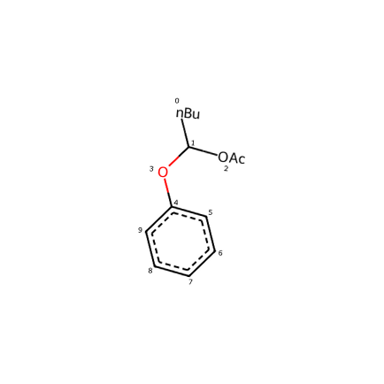 CCCCC(OC(C)=O)Oc1ccccc1